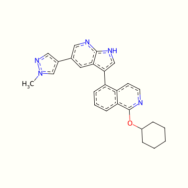 Cn1cc(-c2cnc3[nH]cc(-c4cccc5c(OC6CCCCC6)nccc45)c3c2)cn1